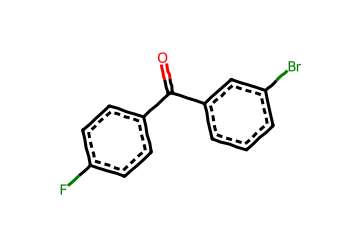 O=C(c1ccc(F)cc1)c1cccc(Br)c1